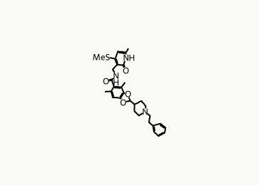 CSc1cc(C)[nH]c(=O)c1CNC(=O)c1c(C)cc2c(c1C)OC(C1CCN(CCc3ccccc3)CC1)O2